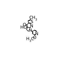 COc1cc(N2CCC3(O)C(=O)c4cc(C)sc4N=C23)ccn1